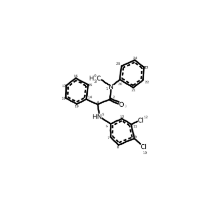 CN(C(=O)C(Nc1ccc(Cl)c(Cl)c1)c1ccccc1)c1ccccc1